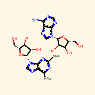 CNc1nc(SC)nc2c1ncn2[C@@H]1O[C@H](CO)[C@@H](O)[C@H]1O.Nc1ncnc2c1ncn2[C@@H]1O[C@H](CO)[C@@H](O)[C@H]1O